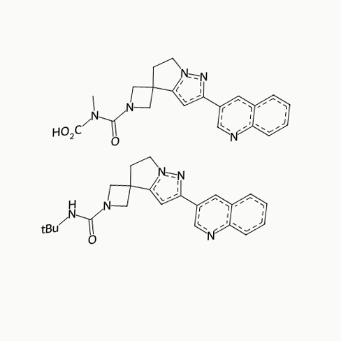 CC(C)(C)NC(=O)N1CC2(CCn3nc(-c4cnc5ccccc5c4)cc32)C1.CN(C(=O)O)C(=O)N1CC2(CCn3nc(-c4cnc5ccccc5c4)cc32)C1